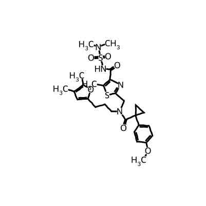 COc1ccc(C2(C(=O)N(CCCc3cc(C)c(C)o3)Cc3nc(C(=O)NS(=O)(=O)N(C)C)c(C)s3)CC2)cc1